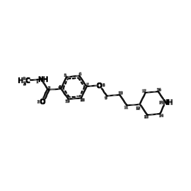 CNC(=O)c1ccc(OCCCC2CCNCC2)cc1